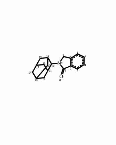 O=C1c2ccccc2CN1C1C2CC3CC(C2)CC1C3